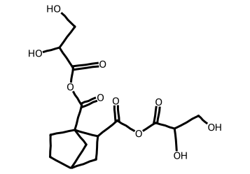 O=C(OC(=O)C1CC2CCC1(C(=O)OC(=O)C(O)CO)C2)C(O)CO